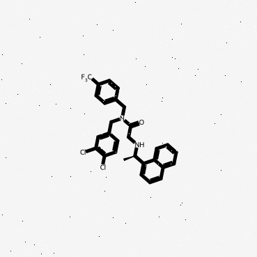 C[C@@H](NCC(=O)N(Cc1ccc(C(F)(F)F)cc1)Cc1ccc(Cl)c(Cl)c1)c1cccc2ccccc12